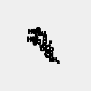 Nc1ccn([C@@H]2O[C@H](COP(=O)(O)CCP(=O)(O)O)[C@@H](O)C2=CF)c(=O)n1